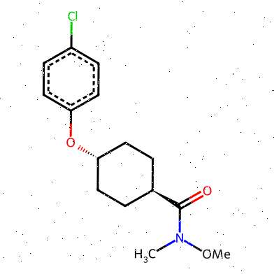 CON(C)C(=O)[C@H]1CC[C@H](Oc2ccc(Cl)cc2)CC1